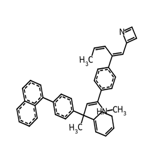 C/C=C\C(=C/C1=CC=N1)c1ccc(/C(=C/C(C)(C2=CC=CCC2)c2ccc(-c3cccc4ccccc34)cc2)NC)cc1